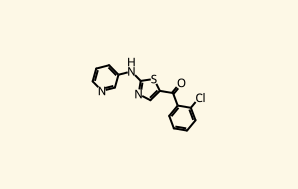 O=C(c1cnc(Nc2cccnc2)s1)c1ccccc1Cl